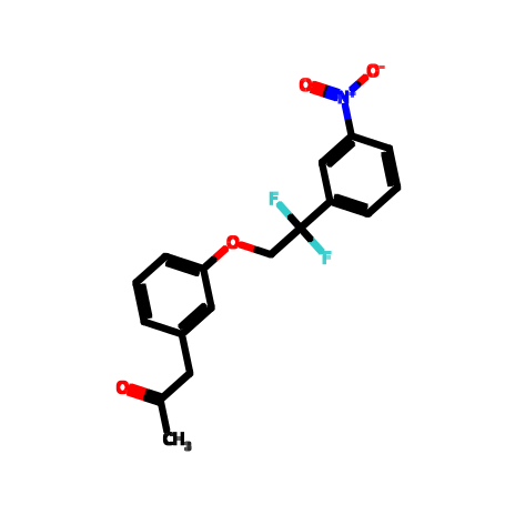 CC(=O)Cc1cccc(OCC(F)(F)c2cccc([N+](=O)[O-])c2)c1